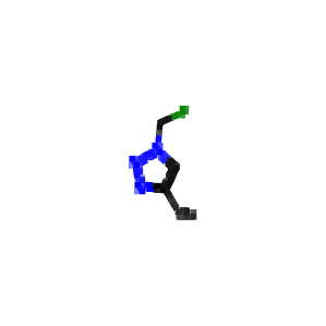 CC(C)(C)c1cn(CF)nn1